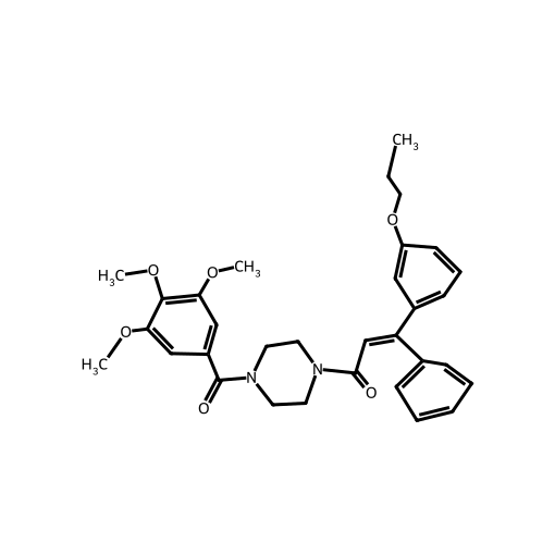 CCCOc1cccc(/C(=C/C(=O)N2CCN(C(=O)c3cc(OC)c(OC)c(OC)c3)CC2)c2ccccc2)c1